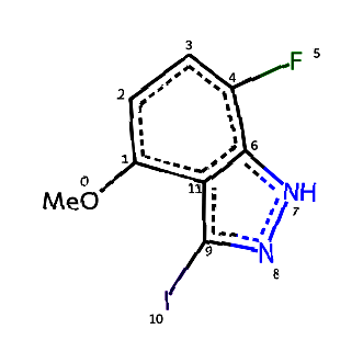 COc1ccc(F)c2[nH]nc(I)c12